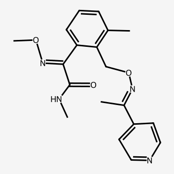 CNC(=O)/C(=N/OC)c1cccc(C)c1CO/N=C(\C)c1ccncc1